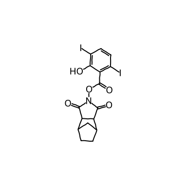 O=C(ON1C(=O)C2C3CCC(C3)C2C1=O)c1c(I)ccc(I)c1O